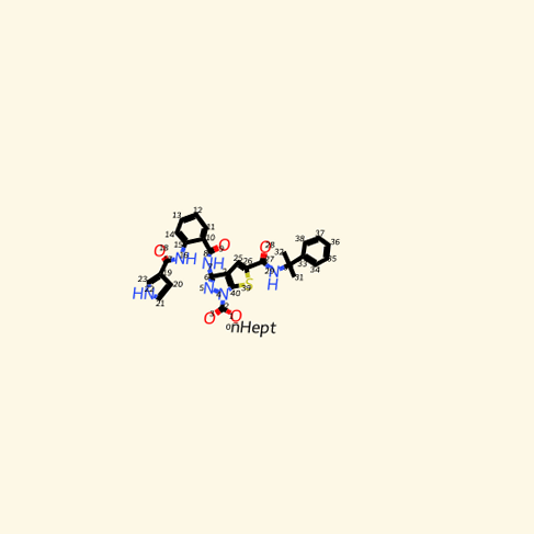 CCCCCCCOC(=O)n1nc(NC(=O)c2ccccc2NC(=O)c2cc[nH]c2)c2cc(C(=O)NC(C)(C)c3ccccc3)sc21